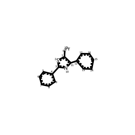 CC(C)c1sc(-c2ccccc2)nc1-c1ccccc1